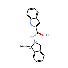 CN[C@@H]1c2ccccc2C[C@H]1NC(=O)c1cc2ccccc2[nH]1.Cl